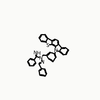 N=C(c1ccccc1)N(Cc1cccc(-n2c3ccccc3c3ccc4c5ccccc5sc4c32)c1)/N=C/c1ccccc1